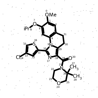 COc1cc2c(cc1OC(C)C)-n1c(-c3cc(Cl)cs3)nc(C(=O)N3CCOCC3(C)C)c1CC2